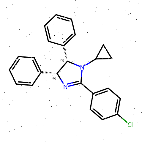 Clc1ccc(C2=N[C@H](c3ccccc3)[C@H](c3ccccc3)N2C2CC2)cc1